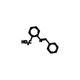 O=C(O)c1ccccc1/N=C/c1ccccc1